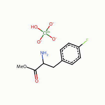 COC(=O)C(N)Cc1ccc(F)cc1.[O-][Cl+3]([O-])([O-])O